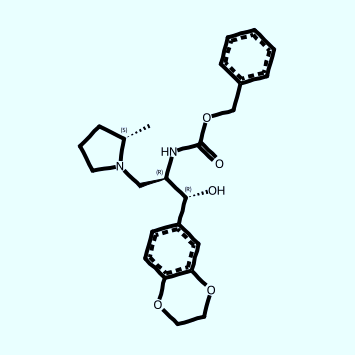 C[C@H]1CCCN1C[C@@H](NC(=O)OCc1ccccc1)[C@H](O)c1ccc2c(c1)OCCO2